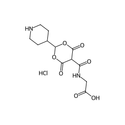 Cl.O=C(O)CNC(=O)C1C(=O)OC(C2CCNCC2)OC1=O